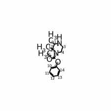 CC1NCCN(C(=O)Oc2ccccc2)C1(C)C